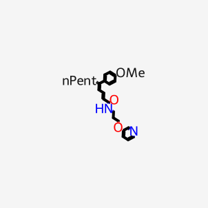 CCCCCC(=CC=CC(=O)NCCCOc1cccnc1)c1ccc(OC)cc1